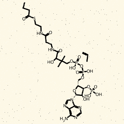 C=CC.CCCC(=O)SCCNC(=O)CCNC(=O)C(O)C(C)(C)COP(=O)(O)OP(=O)(O)OC[C@H]1O[C@@H](n2cnc3c(N)ncnc32)[C@H](O)[C@@H]1OP(=O)(O)O